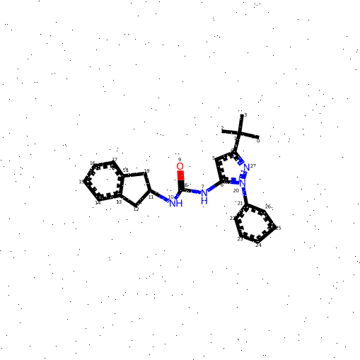 CC(C)(C)c1cc(NC(=O)NC2Cc3ccccc3C2)n(-c2ccccc2)n1